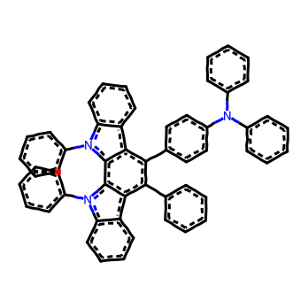 c1ccc(-c2c(-c3ccc(N(c4ccccc4)c4ccccc4)cc3)c3c4ccccc4n(-c4ccccc4)c3c3c2c2ccccc2n3-c2ccccc2)cc1